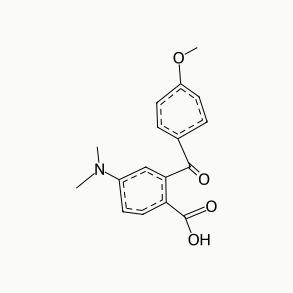 COc1ccc(C(=O)c2cc(N(C)C)ccc2C(=O)O)cc1